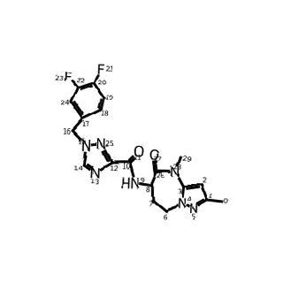 Cc1cc2n(n1)CCC(NC(=O)c1ncn(Cc3ccc(F)c(F)c3)n1)C(=O)N2C